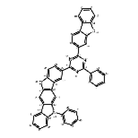 c1ccc(-c2nc(-c3ccc4c(c3)oc3ccccc34)nc(-c3ccc4oc5cc6c7ccccc7n(-c7ccccc7)c6cc5c4c3)n2)cc1